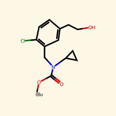 CC(C)(C)OC(=O)N(Cc1cc(CCO)ccc1Cl)C1CC1